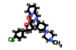 CN1CCN(c2ccc(N(Cc3ccccn3)C(=O)c3ccc(-c4ccc(Cl)cc4)o3)cc2)CC1